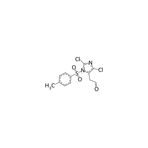 Cc1ccc(S(=O)(=O)n2c(Cl)nc(Cl)c2CC=O)cc1